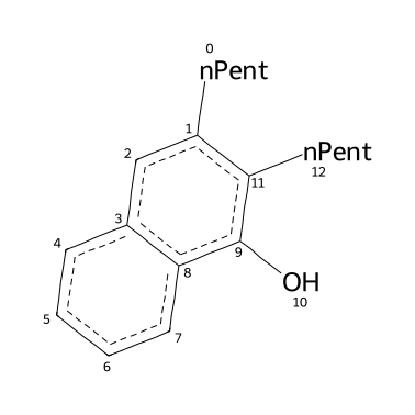 CCCCCc1cc2ccccc2c(O)c1CCCCC